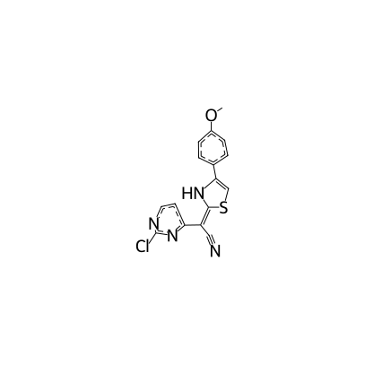 COc1ccc(C2=CSC(=C(C#N)c3ccnc(Cl)n3)N2)cc1